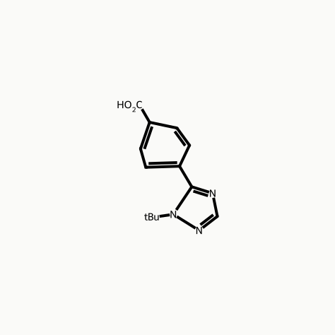 CC(C)(C)n1ncnc1-c1ccc(C(=O)O)cc1